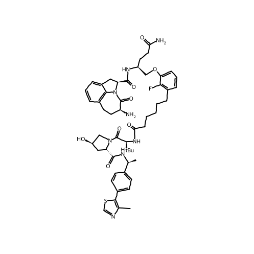 Cc1ncsc1-c1ccc([C@H](C)NC(=O)[C@@H]2C[C@@H](O)CN2C(=O)[C@@H](NC(=O)CCCCCc2cccc(OC[C@H](CCC(N)=O)NC(=O)[C@@H]3Cc4cccc5c4N3C(=O)[C@@H](N)CC5)c2F)C(C)(C)C)cc1